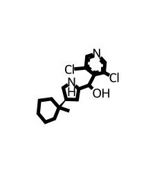 CC1([C@H]2CNC(C(O)c3c(Cl)cncc3Cl)C2)CCCCC1